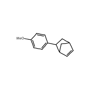 COc1ccc(C2CC3C=CC2C3)cc1